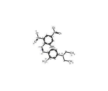 Bc1cc([N+](=O)[O-])cc([N+](=O)[O-])c1/N=N\c1ccc(N(CC)CC)cc1C